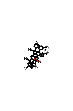 C=C/C=C\C(=C)/C1=C(C#N)/C=C(\C(=C)/C=C\C(=C)C(F)(F)F)C2=C(C(C#N)=C(c3ccccc3)/C2=C(/C#N)c2cc(C#N)cc(C#N)c2)\C(C(=C)/C=C\C(=C)C(F)(F)F)=C\C1=C(/C#N)c1cc(C#N)cc(C#N)c1